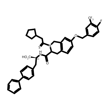 O=C(N[C@@H](Cc1ccc(-c2ccccc2)cc1)C(=O)O)C1Cc2ccc(OCc3ccc(F)c(C(F)(F)F)c3)cc2CN1C(=S)CC1CCCC1